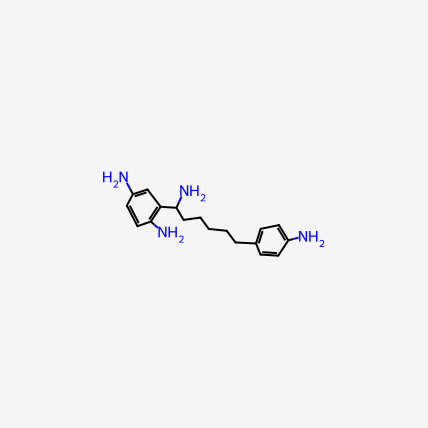 Nc1ccc(CCCCCC(N)c2cc(N)ccc2N)cc1